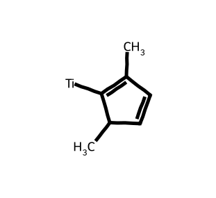 CC1=[C]([Ti])C(C)C=C1